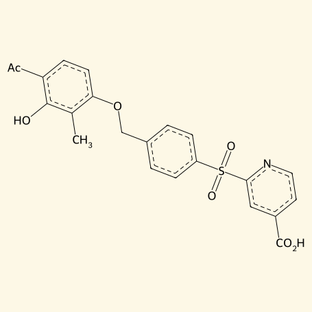 CC(=O)c1ccc(OCc2ccc(S(=O)(=O)c3cc(C(=O)O)ccn3)cc2)c(C)c1O